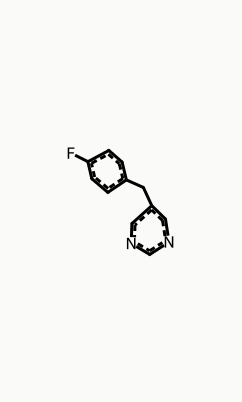 Fc1ccc(Cc2cncnc2)cc1